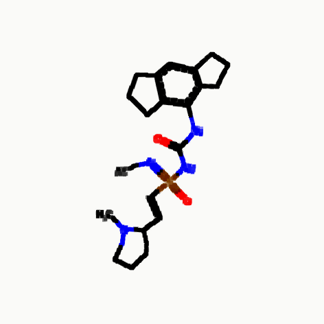 CN1CCCC1/C=C/S(=O)(=NC#N)NC(=O)Nc1c2c(cc3c1CCC3)CCC2